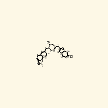 Nc1ccc2cc(CN3CCN(Cc4cc5ccc(Cl)cc5s4)CC3=O)ccc2n1